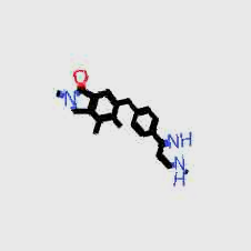 CN/C=C\C(=N)c1ccc(Cc2cc3c(c(C)c2C)CN(C)C3=O)cc1